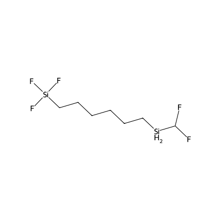 FC(F)[SiH2]CCCCCC[Si](F)(F)F